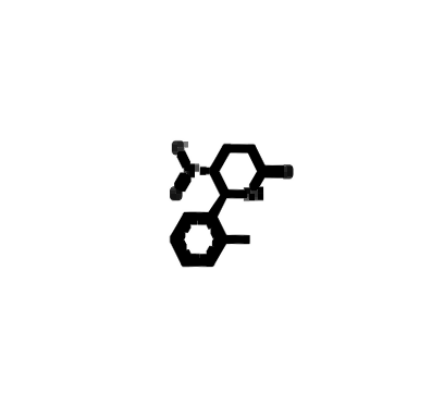 Cc1ccccc1[C@@H]1NC(=O)CC[C@H]1[N+](=O)[O-]